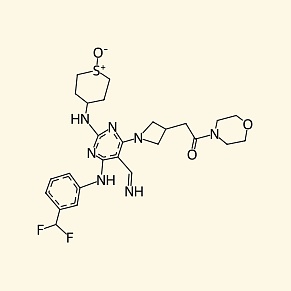 N=Cc1c(Nc2cccc(C(F)F)c2)nc(NC2CC[S+]([O-])CC2)nc1N1CC(CC(=O)N2CCOCC2)C1